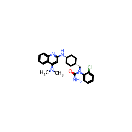 CN(C)c1cc(N[C@H]2CC[C@@H](CN(C(N)=O)c3ccccc3Cl)CC2)nc2ccccc12